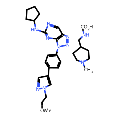 CN1CCC(CNC(=O)O)CC1.COCCn1cc(-c2ccc(-n3nnc4cnc(NC5CCCC5)nc43)cc2)cn1